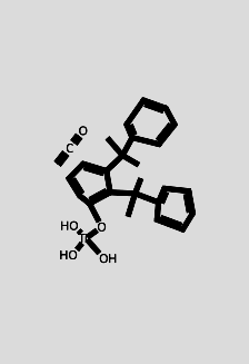 C=C=O.CC(C)(c1ccccc1)c1cccc([O][Ti]([OH])([OH])[OH])c1C(C)(C)c1ccccc1